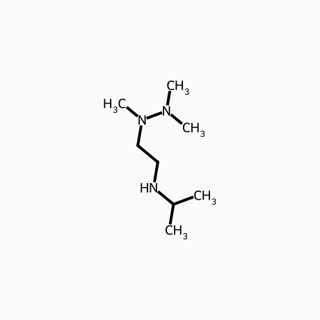 CC(C)NCCN(C)N(C)C